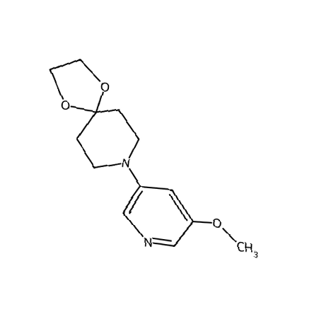 COc1cncc(N2CCC3(CC2)OCCO3)c1